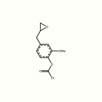 CCC(=O)Oc1ccc(CC2CO2)cc1OC